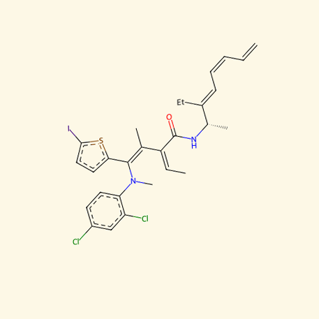 C=C/C=C\C=C(/CC)[C@H](C)NC(=O)C(=CC)/C(C)=C(/c1ccc(I)s1)N(C)c1ccc(Cl)cc1Cl